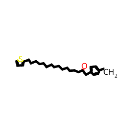 C=Cc1ccc(CC(=O)CCCCCCCCCCCCCCc2cccs2)cc1